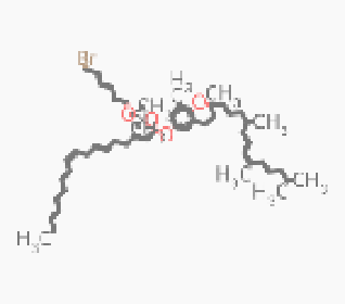 CCCCCCCC/C=C\CCCCCCCC(Oc1cc(C)c2c(c1)CCC(C)(CCCC(C)CCCC(C)CCCC(C)C)O2)O[Si](C)(C)OCCCCCCBr